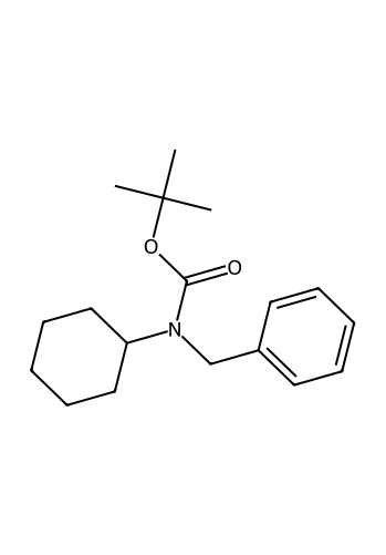 CC(C)(C)OC(=O)N(Cc1ccccc1)C1CCCCC1